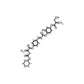 C=C(CO)C(=O)Oc1ccc(OC(=O)/C=C/c2ccc(OC(=O)C(=C)CC(=O)OC3CCCCC3)cc2)c(F)c1